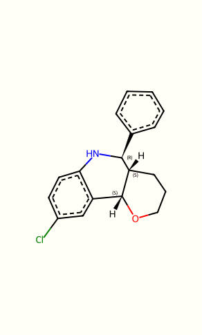 Clc1ccc2c(c1)[C@H]1OCCC[C@H]1[C@H](c1ccccc1)N2